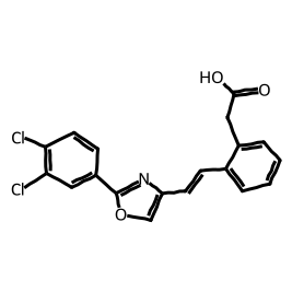 O=C(O)Cc1ccccc1/C=C/c1coc(-c2ccc(Cl)c(Cl)c2)n1